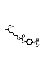 CC(O)CCCCOC(=O)Oc1ccc([N+](=O)[O-])cc1